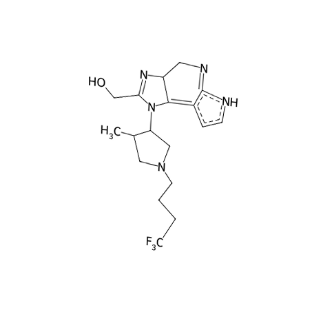 CC1CN(CCCC(F)(F)F)CC1N1C(CO)=NC2CN=c3[nH]ccc3=C21